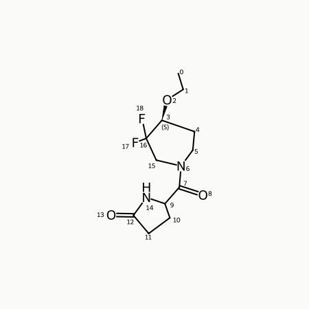 CCO[C@H]1CCN(C(=O)C2CCC(=O)N2)CC1(F)F